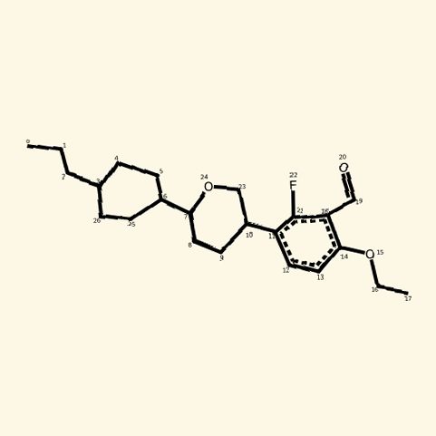 CCCC1CCC(C2CCC(c3ccc(OCC)c(C=O)c3F)CO2)CC1